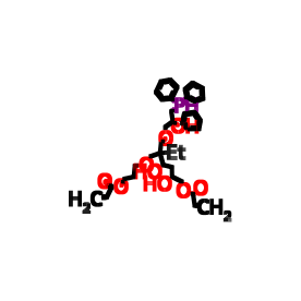 C=CC(=O)OCCCOCC(CC)(COCC(O)C[PH](c1ccccc1)(c1ccccc1)c1ccccc1)C(O)CC(O)COC(=O)C=C